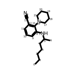 CCCCCC(C)Nc1cccc(C#N)c1N1CCCCC1